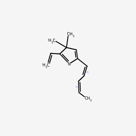 C=CC1=NC(/C=C\C=C/C)=CC1(C)C